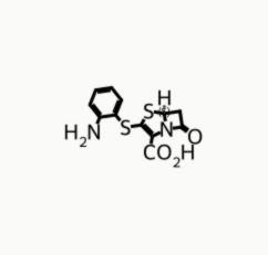 Nc1ccccc1SC1=C(C(=O)O)N2C(=O)C[C@@H]2S1